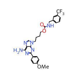 COc1ccc(-c2nc(N)c3ncn(CCCCOC(=O)NCc4cccc(C(F)(F)F)c4)c3n2)cc1